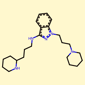 c1ccc2c(c1)c(NCCCC1CCCCN1)nn2CCCN1CCCCC1